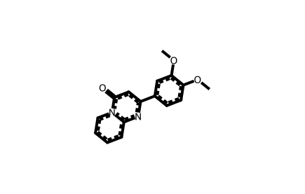 COc1ccc(-c2cc(=O)n3ccccc3n2)cc1OC